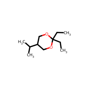 CCC1(CC)OCC(C(C)C)CO1